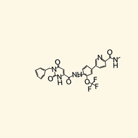 CNC(=O)c1ccc(-c2ccc(CNC(=O)c3cc(=O)n(Cc4ccccc4)c(=O)[nH]3)c(OC(F)(F)F)c2)cn1